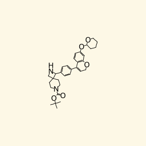 CC(C)(C)OC(=O)N1CCC2(CC1)CNC2c1ccc(C2=CCOc3cc(OC4CCCCO4)ccc32)cc1